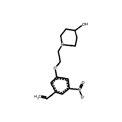 C=Cc1cc(OCCN2CCC(O)CC2)cc([N+](=O)[O-])c1